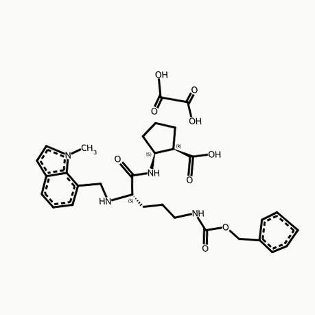 Cn1ccc2cccc(CN[C@@H](CCCNC(=O)OCc3ccccc3)C(=O)N[C@H]3CCC[C@H]3C(=O)O)c21.O=C(O)C(=O)O